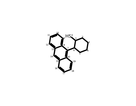 SC1CCCCC1c1c2ccccc2cc2ccccc12